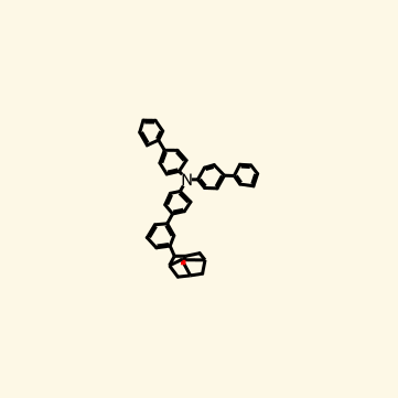 c1ccc(-c2ccc(N(c3ccc(-c4ccccc4)cc3)c3ccc(-c4cccc(C5C6CC7CC(C6)CC5C7)c4)cc3)cc2)cc1